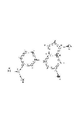 [2H]c1cc(-c2cccc(N(CC)C(C)=O)c2)n2ncc(C#N)c2n1